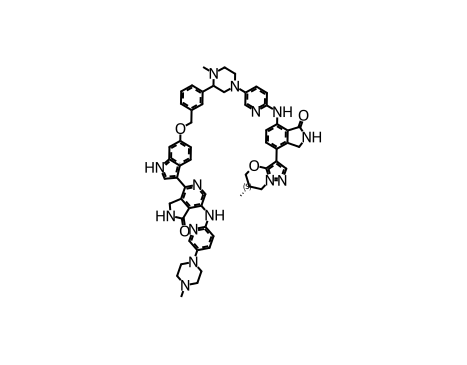 C[C@@H]1COc2c(-c3ccc(Nc4ccc(N5CCN(C)C(c6cccc(COc7ccc8c(-c9ncc(Nc%10ccc(N%11CCN(C)CC%11)cn%10)c%10c9CNC%10=O)c[nH]c8c7)c6)C5)cn4)c4c3CNC4=O)cnn2C1